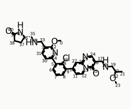 COc1nc(-c2cccc(-c3ccn4c(=O)c(CNCC(C)OC)cnc4c3)c2Cl)ccc1CNC[C@@H]1CCC(=O)N1